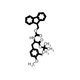 COc1ccc(CC(NC(=O)OCC2c3ccccc3-c3ccccc32)C(=O)OC(C)(C)C)cc1F